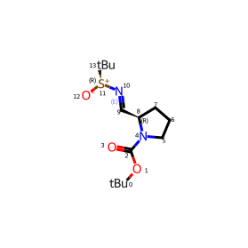 CC(C)(C)OC(=O)N1CCC[C@@H]1/C=N/[S@@+]([O-])C(C)(C)C